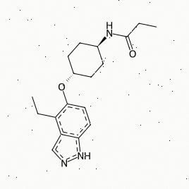 CCC(=O)N[C@H]1CC[C@H](Oc2ccc3[nH]ncc3c2CC)CC1